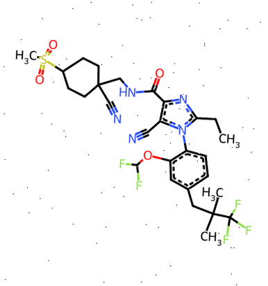 CCc1nc(C(=O)NCC2(C#N)CCC(S(C)(=O)=O)CC2)c(C#N)n1-c1ccc(CC(C)(C)C(F)(F)F)cc1OC(F)F